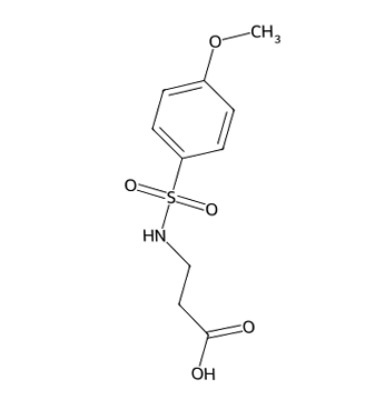 COc1ccc(S(=O)(=O)NCCC(=O)O)cc1